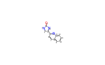 O=C1N=CC(c2ccc3ccccc3n2)=N1